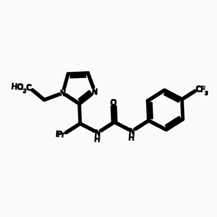 CC(C)C(NC(=O)Nc1ccc(C(F)(F)F)cc1)c1nccn1CC(=O)O